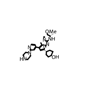 C=N/C(=N\n1c(C)c(-c2ccnc(N3CCNCC3)c2)cc1[C@H]1CC[C@H](O)CC1)N[C@@H](C)COC